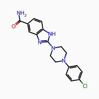 NC(=O)c1ccc2[nH]c(N3CCN(c4ccc(Cl)cc4)CC3)nc2c1